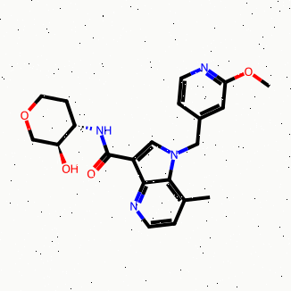 COc1cc(Cn2cc(C(=O)N[C@H]3CCOC[C@@H]3O)c3nccc(C)c32)ccn1